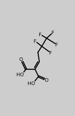 O=C(O)C(=CCC(F)(F)C(F)(F)F)C(=O)O